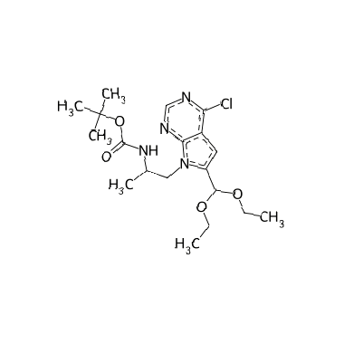 CCOC(OCC)c1cc2c(Cl)ncnc2n1CC(C)NC(=O)OC(C)(C)C